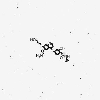 NCOc1cc2c(Oc3ccc(NC(=O)NC4CC4)c(Cl)c3)ccnc2cc1OCCCO